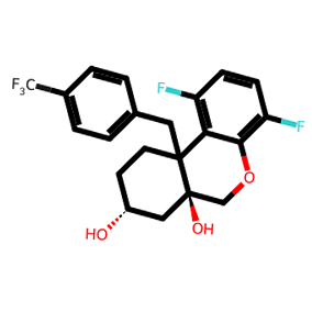 O[C@@H]1CCC2(Cc3ccc(C(F)(F)F)cc3)c3c(F)ccc(F)c3OC[C@]2(O)C1